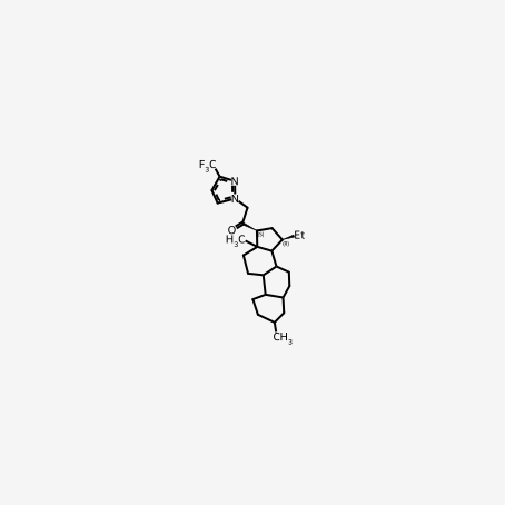 CC[C@@H]1C[C@H](C(=O)Cn2ccc(C(F)(F)F)n2)C2(C)CCC3C4CCC(C)CC4CCC3C12